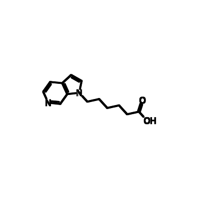 O=C(O)CCCCCn1ccc2ccncc21